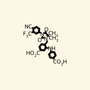 CC1(C)C(=O)N(c2ccc(C#N)c(C(F)(F)F)c2)C(=O)N1Cc1ccc(C(=O)O)cc1Nc1ccc(C(=O)O)cc1